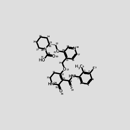 Cc1c(F)cccc1NC(=S)C1=C(OCc2ccncc2OC[C@H]2CCCCN2C(=O)O)CCNC1=O